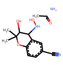 CC1(C)Oc2ccc(C#N)cc2C(NO)C1O.CC=O.N